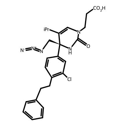 CC(C)C1=CN(CCC(=O)O)C(=O)N[C@]1(CN=[N+]=[N-])c1ccc(CCc2ccccc2)c(Cl)c1